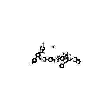 C[C@@]1(CN2CCNCC2)CCC(c2ccc(Cl)cc2)=C(CN2CCN(c3ccc(C(=O)NS(=O)(=O)c4ccc(NC(CCN5CCc6cccnc6C5)CSc5ccccc5)c(S(=O)(=O)C(F)(F)F)c4)cc3)CC2)C1.Cl